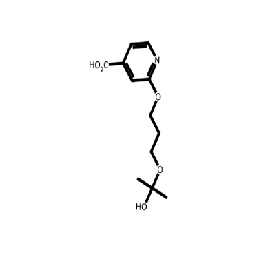 CC(C)(O)OCCCOc1cc(C(=O)O)ccn1